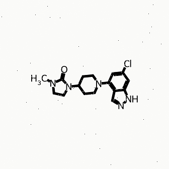 CN1CCN(C2CCN(c3cc(Cl)cc4[nH]ncc34)CC2)C1=O